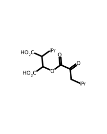 CC(C)CC(=O)C(=O)OC(C(=O)O)C(C(=O)O)C(C)C